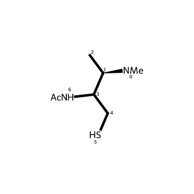 CN[C@H](C)C(CS)NC(C)=O